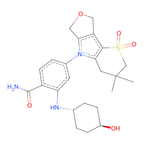 CC1(C)Cc2c(c3c(n2-c2ccc(C(N)=O)c(N[C@H]4CC[C@H](O)CC4)c2)COC3)S(=O)(=O)C1